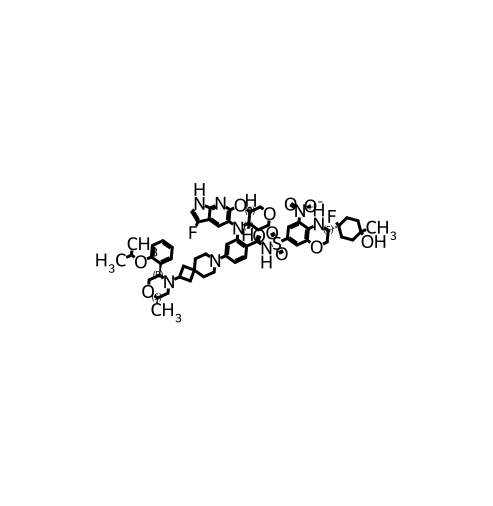 CC(C)Oc1ccccc1[C@@H]1CO[C@@H](C)CN1C1CC2(CCN(c3ccc(C(=O)NS(=O)(=O)c4cc5c(c([N+](=O)[O-])c4)N[C@H](C4(F)CCC(C)(O)CC4)CO5)c(N4c5cc6c(F)c[nH]c6nc5O[C@H]5COCC[C@@H]54)c3)CC2)C1